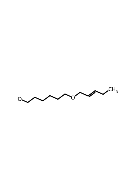 CCC=CCOCCCCCC[O]